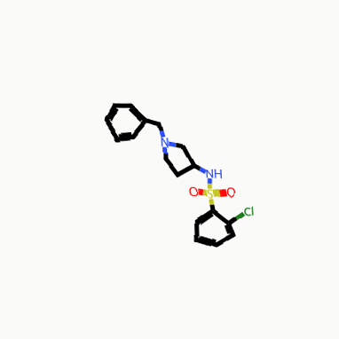 O=S(=O)(NC1CCN(Cc2ccccc2)C1)c1ccccc1Cl